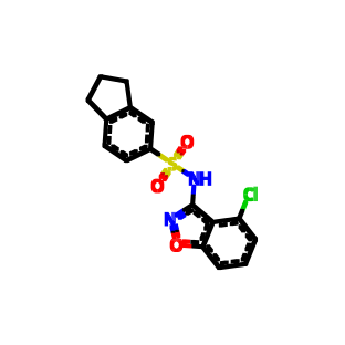 O=S(=O)(Nc1noc2cccc(Cl)c12)c1ccc2c(c1)CCC2